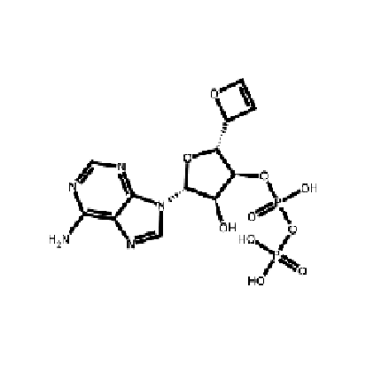 Nc1ncnc2c1ncn2[C@@H]1O[C@H](C2C=CO2)[C@@H](OP(=O)(O)OP(=O)(O)O)[C@H]1O